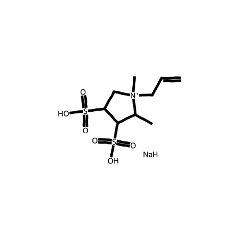 C=CC[N+]1(C)CC(S(=O)(=O)O)C(S(=O)(=O)O)C1C.[NaH]